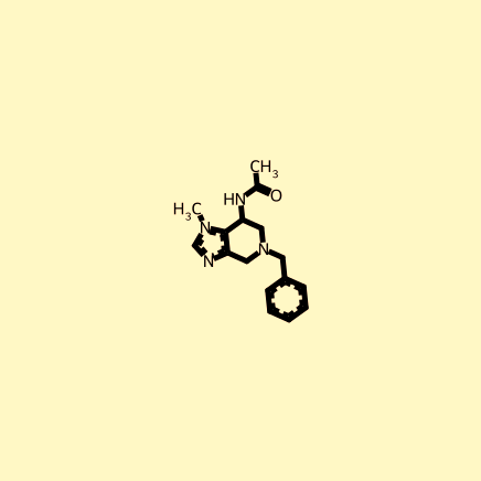 CC(=O)NC1CN(Cc2ccccc2)Cc2ncn(C)c21